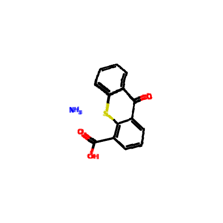 N.O=C(O)c1cccc2c(=O)c3ccccc3sc12